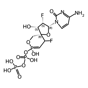 Nc1ccn([C@@H]2O[C@]3(COP(O)(OP(=O)(O)OP(=O)(O)O)=CC3F)[C@H](O)[C@@H]2F)c(=O)n1